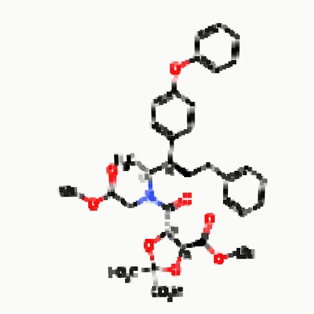 CCOC(=O)C1(C(=O)O)O[C@H](C(=O)OC(C)(C)C)[C@@H](C(=O)N(CC(=O)OC(C)(C)C)[C@H](C)[C@H](CCc2ccccc2)c2ccc(Oc3ccccc3)cc2)O1